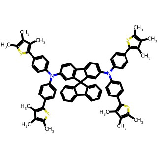 Cc1sc(-c2ccc(N(c3ccc(-c4sc(C)c(C)c4C)cc3)c3ccc4c(c3)C3(c5ccccc5-c5ccccc53)c3cc(N(c5ccc(-c6sc(C)c(C)c6C)cc5)c5ccc(-c6sc(C)c(C)c6C)cc5)ccc3-4)cc2)c(C)c1C